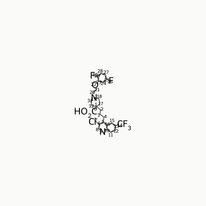 O=C(O)C1(CCCc2c(Cl)cnc3ccc(C(F)(F)F)cc23)CCN(CCOc2cc(F)ccc2F)CC1